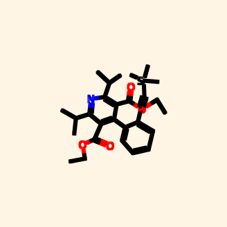 CCOC(=O)c1c(C(C)C)nc(C(C)C)c(C(=O)OCC)c1-c1ccccc1C#C[Si](C)(C)C